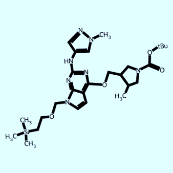 CC1CN(C(=O)OC(C)(C)C)CC1COc1nc(Nc2cnn(C)c2)nc2c1ccn2COCC[Si](C)(C)C